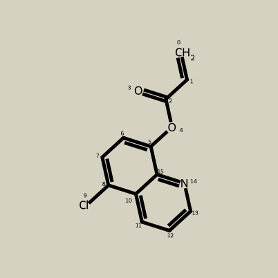 C=CC(=O)Oc1ccc(Cl)c2cccnc12